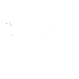 CC1=C(C)CC(COC(=O)C2CCC(C)=C(C)C2)CC1